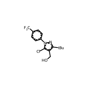 CC(C)(C)c1nn(-c2ccc(C(F)(F)F)cc2)c(Cl)c1CO